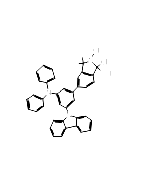 CN1C(C)(C)c2ccc(-c3cc(N(c4ccccc4)c4ccccc4)cc(-n4c5ccccc5c5ccccc54)c3)cc2C1(C)C